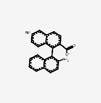 Nc1ccc2ccccc2c1-c1c(C(=O)[O-])ccc2ccccc12.[Na+]